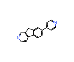 c1cc(-c2ccc3c(c2)Cc2cnccc2-3)ccn1